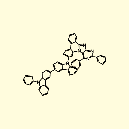 c1ccc(-c2nc(-c3ccccc3)c3c(n2)nc2c4ccccc4c4ccc(-n5c6ccccc6c6cc(-c7ccc8c(c7)c7ccccc7n8-c7ccccc7)ccc65)cc4n23)cc1